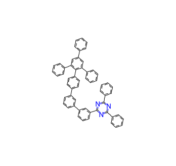 c1ccc(-c2cc(-c3ccccc3)c(-c3ccc(-c4cccc(-c5cccc(-c6nc(-c7ccccc7)nc(-c7ccccc7)n6)c5)c4)cc3)c(-c3ccccc3)c2)cc1